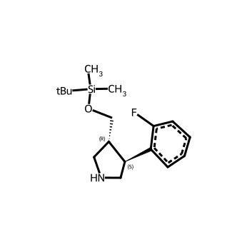 CC(C)(C)[Si](C)(C)OC[C@H]1CNC[C@@H]1c1ccccc1F